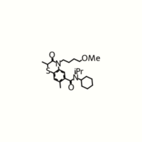 COCCCCN1C(=O)C(C)Sc2cc(C)c(C(=O)N(C(C)C)C3CCCCC3)cc21